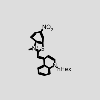 CCCCCCN1C=CC(=Cc2sc3cc([N+](=O)[O-])ccc3[n+]2C)c2ccccc21